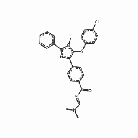 CN(C)C=NC(=O)c1ccc(-c2nc(-c3ccccc3)n(C)c2Sc2ccc(Cl)cc2)cc1